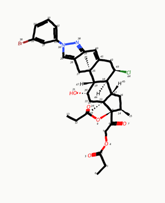 CCC(=O)OCC(=O)[C@@]1(OC(=O)CC)[C@H](C)C[C@H]2[C@H]3[C@H]([C@@H](O)C[C@@]21C)[C@@]1(C)Cc2cn(-c4cccc(Br)c4)nc2C=C1C[C@H]3Cl